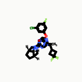 Cc1cc(N2C[C@H]3CC[C@@H](C2)[C@H]3Nc2nc(Oc3cc(F)cc(Cl)c3)n(CC3CC(F)(F)C3)n2)ncn1